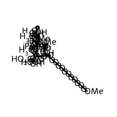 CC[C@H](C)[C@@H]([C@@H](CC(=O)N1CCC[C@H]1[C@H](OC)[C@@H](C)C(=O)N[C@H](C)[C@@H](O)c1ccccc1)OC)N(C)C(=O)[C@@H](NC(=O)[C@H](C(C)C)N(C)C(=O)OCc1ccc(O[C@@H]2O[C@H](C(=O)O)[C@@H](O)[C@H](O)[C@H]2O)c(CNC(=O)COC2(CNC(=O)CCN3C(=O)C=CC3=O)CN(C(=O)CCOCCOCCOCCOCCOCCOCCOCCOCCOCCOCCOCCOC)C2)c1)C(C)C